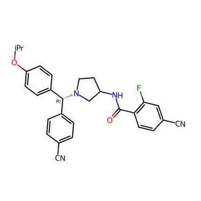 CC(C)Oc1ccc([C@@H](c2ccc(C#N)cc2)N2CCC(NC(=O)c3ccc(C#N)cc3F)C2)cc1